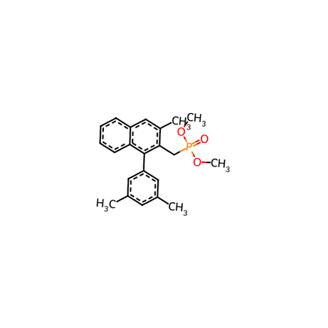 COP(=O)(Cc1c(C)cc2ccccc2c1-c1cc(C)cc(C)c1)OC